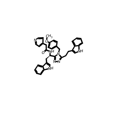 COc1ccc(Cn2c(CCc3c[nH]c4ccccc34)nnc2[C@@H](Cc2c[nH]c3ccccc23)NC(=O)Cc2ccncc2)cc1